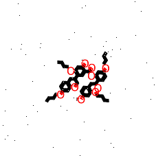 CCCCOc1ccc2c(c1)OCC(c1cc(C(=O)Oc3cc(OCCCC)ccc3C(=O)Cc3ccc(OC)cc3OCCCC)c(OC)cc1OCCCC)C2